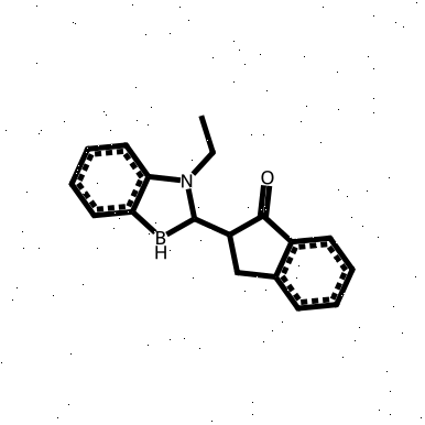 CCN1c2ccccc2BC1C1Cc2ccccc2C1=O